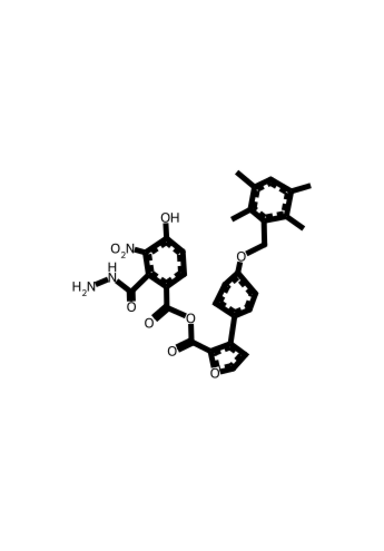 Cc1cc(C)c(C)c(COc2ccc(-c3ccoc3C(=O)OC(=O)c3ccc(O)c([N+](=O)[O-])c3C(=O)NN)cc2)c1C